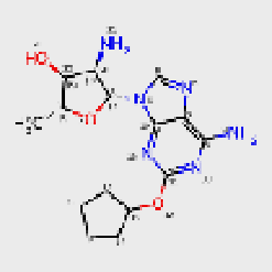 C[C@H]1O[C@@H](n2cnc3c(N)nc(OC4CCCC4)nc32)[C@H](N)[C@@H]1O